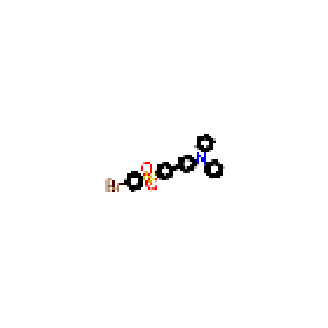 O=S(=O)(c1ccc(Br)cc1)c1ccc(-c2ccc(N(c3ccccc3)c3ccccc3)cc2)cc1